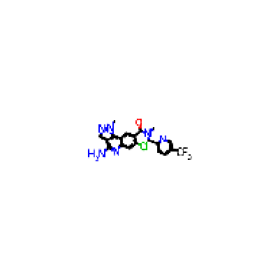 CN(Cc1ccc(C(F)(F)F)cn1)C(=O)c1cc2c(cc1Cl)nc(N)c1cnn(C)c12